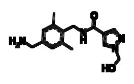 Cc1cc(CN)cc(C)c1CNC(=O)c1cnn(CO)c1